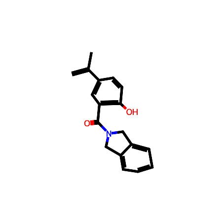 C=C(C)c1ccc(O)c(C(=O)N2Cc3ccccc3C2)c1